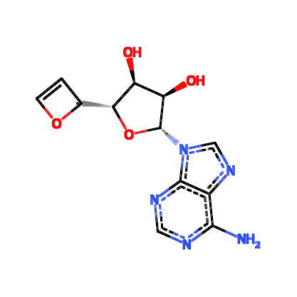 Nc1ncnc2c1ncn2[C@@H]1O[C@H]([C]2C=CO2)[C@@H](O)[C@H]1O